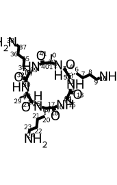 C[C@H]1NC(=O)[C@H](CCCCN)NC(=O)[C@@H](C)NC(=O)[C@H](CCCCN)NC(=O)[C@@H](C)NC(=O)[C@H](CCCCN)NC1=O